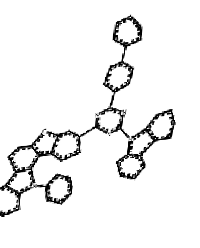 c1ccc(-c2ccc(-c3nc(-c4ccc5c(c4)oc4ccc6c7ccccc7n(-c7ccccc7)c6c45)nc(-n4c5ccccc5c5ccccc54)n3)cc2)cc1